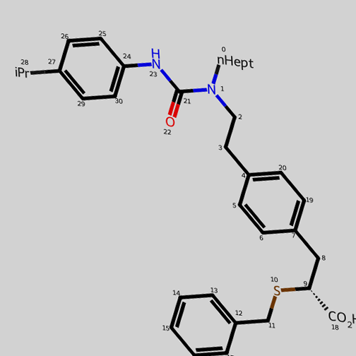 CCCCCCCN(CCc1ccc(C[C@@H](SCc2ccccc2)C(=O)O)cc1)C(=O)Nc1ccc(C(C)C)cc1